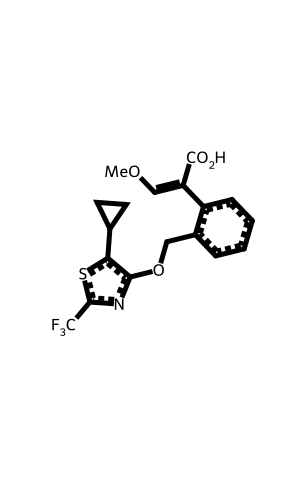 COC=C(C(=O)O)c1ccccc1COc1nc(C(F)(F)F)sc1C1CC1